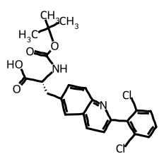 CC(C)(C)OC(=O)N[C@H](Cc1ccc2nc(-c3c(Cl)cccc3Cl)ccc2c1)C(=O)O